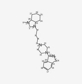 CN1[CH]N(CCCCN2CCN(c3nsc4ccccc34)CC2)C2CCCCC21